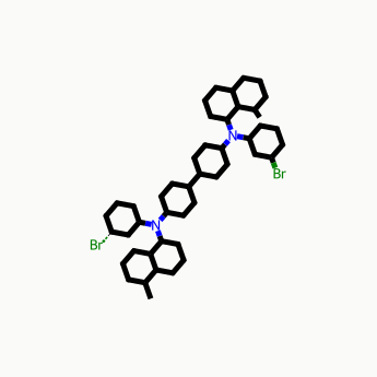 CC1CCCC2C1CCCC2N(C1CCC(C2CCC(N(C3CCCC(Br)C3)C3CCCC4CCCC(C)C43)CC2)CC1)C1CCC[C@@H](Br)C1